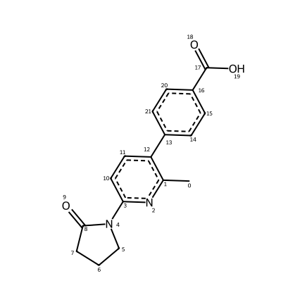 Cc1nc(N2CCCC2=O)ccc1-c1ccc(C(=O)O)cc1